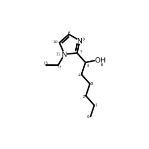 CCCCCC(O)c1nccn1CC